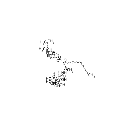 CCCCCCCC/C=C\CCCCCCCC(=O)N(CCC(=O)OC1CC[C@@]2(C)C(=CC[C@H]3[C@@H]4CC[C@H]([C@H](C)CCCC(C)C)[C@@]4(C)CC[C@@H]32)C1)CCN(C)CCNC(=O)C(O)C(O)C(O[C@@H]1OC(CO)C(O)(O)[C@H](O)C1O)C(O)CO